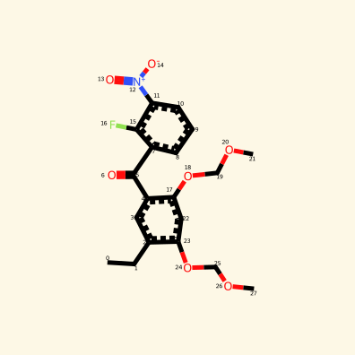 CCc1cc(C(=O)c2cccc([N+](=O)[O-])c2F)c(OCOC)cc1OCOC